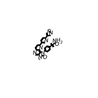 Cn1cc(-c2ccc(-c3ccc4ncc5c(c4n3)n(-c3ccc(C(C)(C)C(N)=O)cc3)c(=O)n5C)cn2)cn1